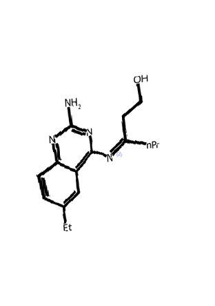 CCC/C(CCO)=N/c1nc(N)nc2ccc(CC)cc12